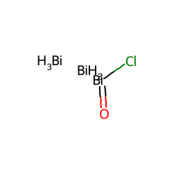 [BiH3].[BiH3].[O]=[Bi][Cl]